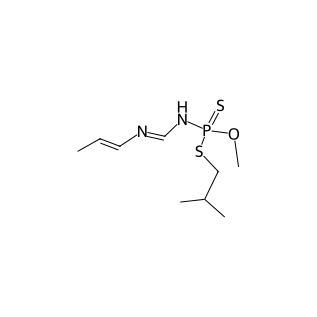 CC=CN=CNP(=S)(OC)SCC(C)C